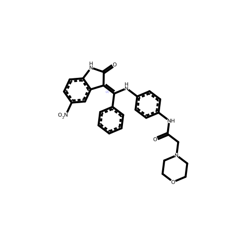 O=C(CN1CCOCC1)Nc1ccc(N/C(=C2\C(=O)Nc3ccc([N+](=O)[O-])cc32)c2ccccc2)cc1